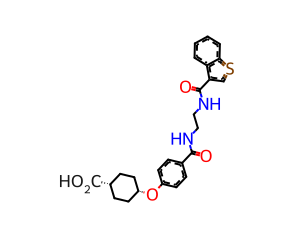 O=C(NCCNC(=O)c1csc2ccccc12)c1ccc(O[C@H]2CC[C@@H](C(=O)O)CC2)cc1